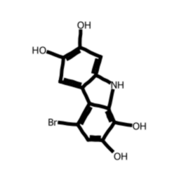 Oc1cc2[nH]c3c(O)c(O)cc(Br)c3c2cc1O